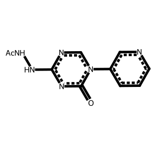 CC(=O)NNc1ncn(-c2cccnc2)c(=O)n1